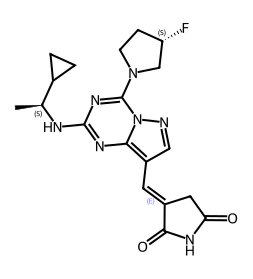 C[C@H](Nc1nc(N2CC[C@H](F)C2)n2ncc(/C=C3\CC(=O)NC3=O)c2n1)C1CC1